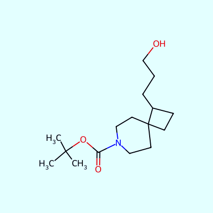 CC(C)(C)OC(=O)N1CCC2(CCC2CCCO)CC1